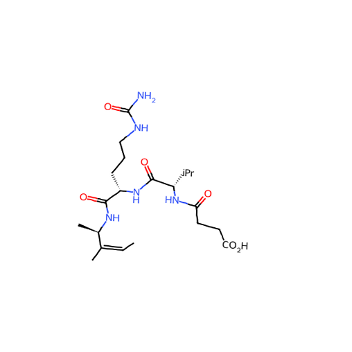 C/C=C(/C)[C@@H](C)NC(=O)[C@H](CCCNC(N)=O)NC(=O)[C@@H](NC(=O)CCC(=O)O)C(C)C